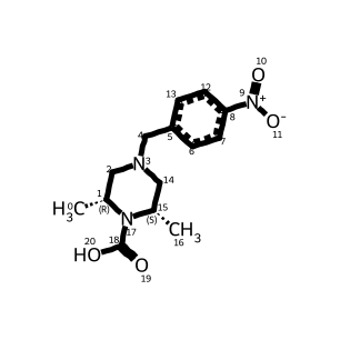 C[C@@H]1CN(Cc2ccc([N+](=O)[O-])cc2)C[C@H](C)N1C(=O)O